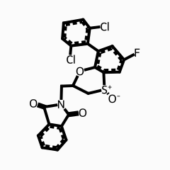 O=C1c2ccccc2C(=O)N1CC1C[S+]([O-])c2cc(F)cc(-c3c(Cl)cccc3Cl)c2O1